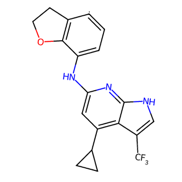 FC(F)(F)c1c[nH]c2nc(Nc3cc[c]c4c3OCC4)cc(C3CC3)c12